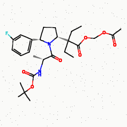 CCC(CC)(C(=O)OCOC(C)=O)[C@H]1CC[C@@H](c2cccc(F)c2)N1C(=O)[C@@H](C)NC(=O)OC(C)(C)C